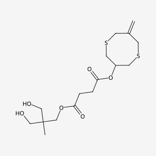 C=C1CSCC(OC(=O)CCC(=O)OCC(C)(CO)CO)CSC1